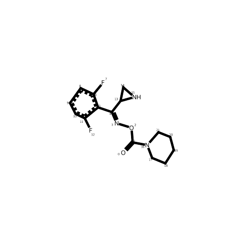 O=C(O/N=C(/c1c(F)cccc1F)C1CN1)N1CCCCC1